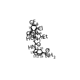 CCC1CN(CC(=O)NC2C3CC4CC2CC(C(N)=O)(C4)C3)S(O)(O)N(c2c(Cl)cc(C(F)(F)F)cc2Cl)C1